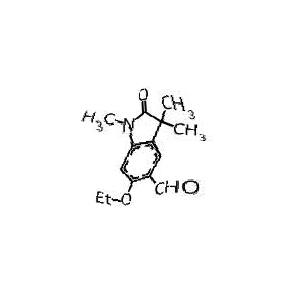 CCOc1cc2c(cc1C=O)C(C)(C)C(=O)N2C